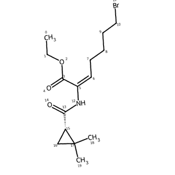 CCOC(=O)C(=CCCCCBr)NC(=O)[C@H]1CC1(C)C